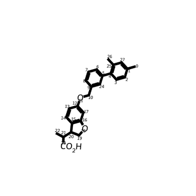 Cc1ccc(-c2cccc(COc3ccc4c(c3)OCC4C(C)C(=O)O)c2)c(C)c1